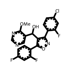 COc1ncncc1C(O)c1c(-c2ccc(Cl)cc2F)noc1-c1ccc(F)cc1F